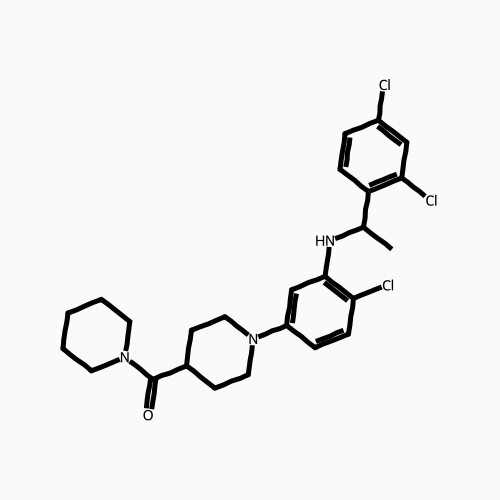 CC(Nc1cc(N2CCC(C(=O)N3CCCCC3)CC2)ccc1Cl)c1ccc(Cl)cc1Cl